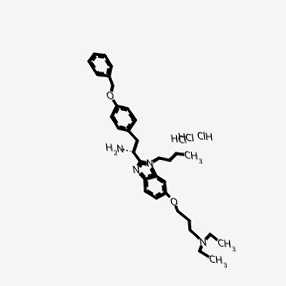 CCCCn1c([C@H](N)Cc2ccc(OCc3ccccc3)cc2)nc2ccc(OCCCN(CC)CC)cc21.Cl.Cl.Cl